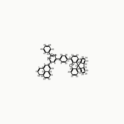 C1=Cc2cc(-c3cc(-c4ccc(-c5cccc6c5Oc5ccccc5C65c6ccccc6-c6ccccc65)cc4)nc(-c4ccccc4)n3)cc3cccc(c23)C1